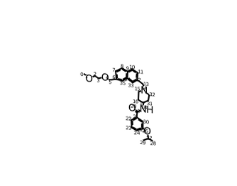 COCCOCc1ccc2ccc(CN3CCC(NC(=O)c4cccc(OC(C)C)c4)CC3)cc2c1